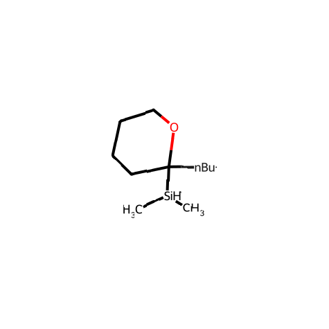 CCC[CH]C1([SiH](C)C)CCCCO1